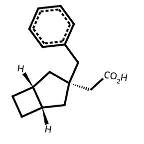 O=C(O)C[C@@]1(Cc2ccccc2)C[C@H]2CC[C@H]2C1